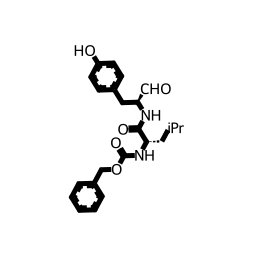 CC(C)C[C@H](NC(=O)OCc1ccccc1)C(=O)N[C@H](C=O)Cc1ccc(O)cc1